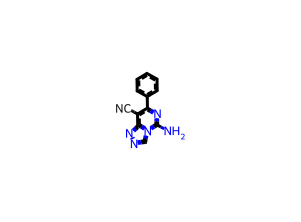 N#Cc1c(-c2ccccc2)nc(N)n2cnnc12